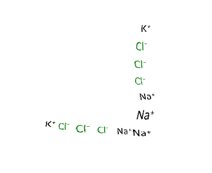 [Cl-].[Cl-].[Cl-].[Cl-].[Cl-].[Cl-].[K+].[K+].[Na+].[Na+].[Na+].[Na+]